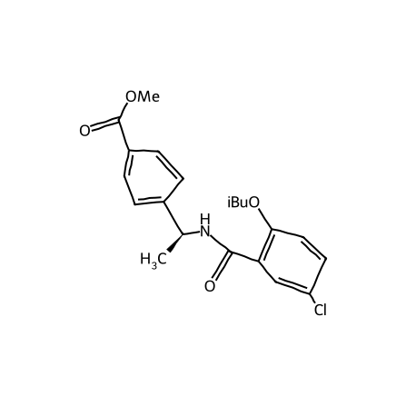 COC(=O)c1ccc([C@H](C)NC(=O)c2cc(Cl)ccc2OCC(C)C)cc1